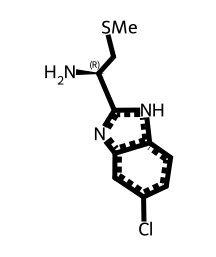 CSC[C@H](N)c1nc2cc(Cl)ccc2[nH]1